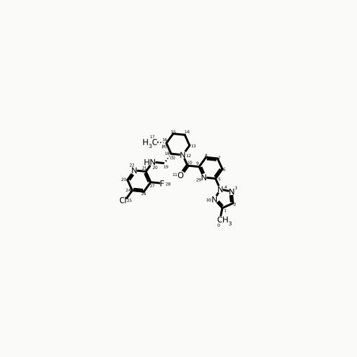 Cc1cnn(-c2cccc(C(=O)N3CCC[C@@H](C)[C@H]3CNc3ncc(Cl)cc3F)n2)n1